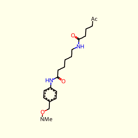 CNOCc1ccc(NC(=O)CCCCCNC(=O)CCCC(C)=O)cc1